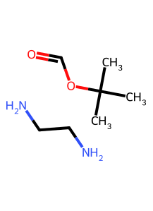 CC(C)(C)OC=O.NCCN